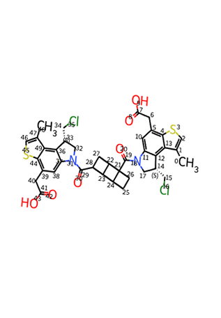 Cc1csc2c(CC(=O)O)cc3c(c12)[C@H](CCl)CN3C(=O)C12C3C4C1C1C2C3C41C(=O)N1C[C@@H](CCl)c2c1cc(CC(=O)O)c1scc(C)c21